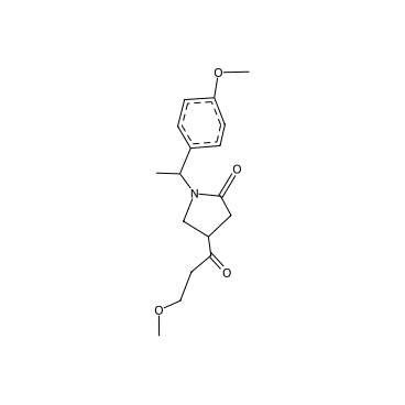 COCCC(=O)C1CC(=O)N(C(C)c2ccc(OC)cc2)C1